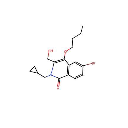 CCCCOc1c(CO)n(CC2CC2)c(=O)c2ccc(Br)cc12